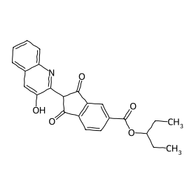 CCC(CC)OC(=O)c1ccc2c(c1)C(=O)C(c1nc3ccccc3cc1O)C2=O